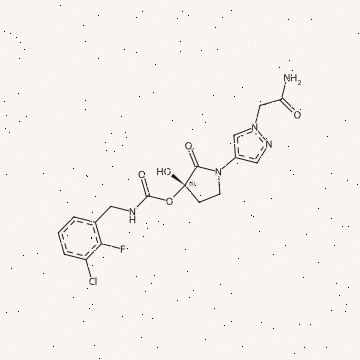 NC(=O)Cn1cc(N2CC[C@](O)(OC(=O)NCc3cccc(Cl)c3F)C2=O)cn1